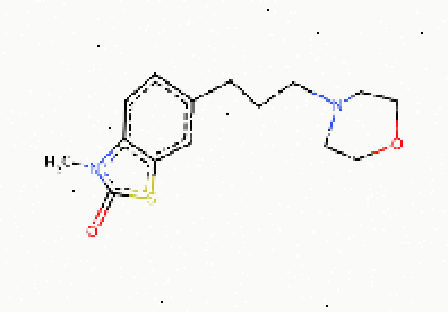 Cn1c(=O)sc2cc(CCCN3CCOCC3)ccc21